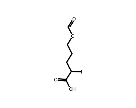 O=COCCCC(I)C(=O)O